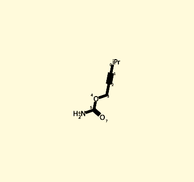 CC(C)C#CCOC(N)=O